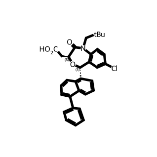 CC(C)(C)CN1C(=O)[C@H](CC(=O)O)O[C@@H](c2cccc3c(-c4ccccc4)cccc23)c2cc(Cl)ccc21